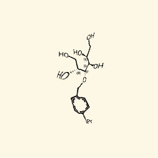 CC(C)c1ccc(CO[C@@H]([C@H](O)[C@@H](O)CO)[C@H](O)CO)cc1